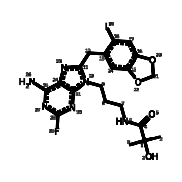 CC(C)(O)C(=O)NCCCn1c(Cc2cc3c(cc2I)OCO3)nc2c(N)nc(F)nc21